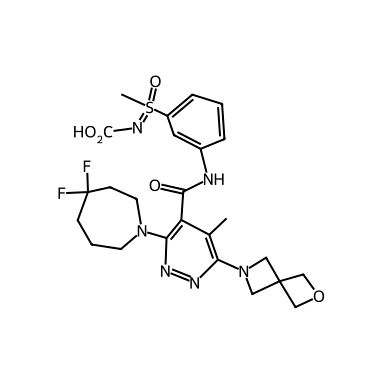 Cc1c(N2CC3(COC3)C2)nnc(N2CCCC(F)(F)CC2)c1C(=O)Nc1cccc(S(C)(=O)=NC(=O)O)c1